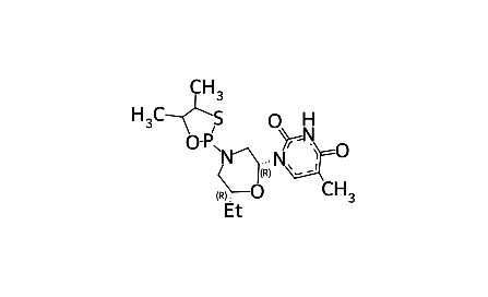 CC[C@@H]1CN(P2OC(C)C(C)S2)C[C@H](n2cc(C)c(=O)[nH]c2=O)O1